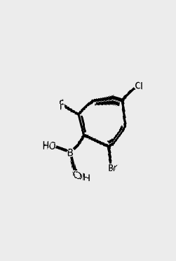 OB(O)c1c(F)cc(Cl)cc1Br